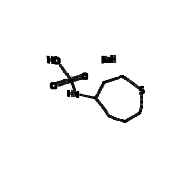 O=S(=O)(O)NC1CCCSCC1.[NaH]